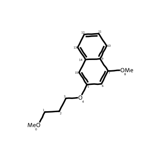 COCCCOc1cc(OC)c2ccccc2c1